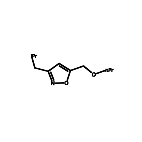 CCCOCc1cc(CC(C)C)no1